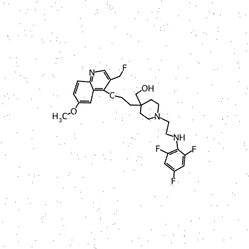 COc1ccc2ncc(CF)c(CCCC3(CO)CCN(CCNc4c(F)cc(F)cc4F)CC3)c2c1